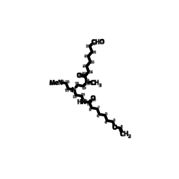 C=COCCCCCCC(=O)NCCN(CCNC)CCN(C)C(=O)CCCCCCC=O